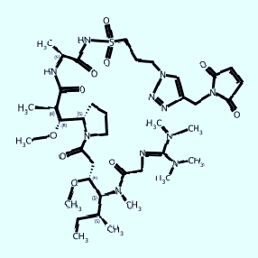 CC[C@H](C)[C@@H]([C@@H](CC(=O)N1CCC[C@H]1[C@H](OC)[C@@H](C)C(=O)N[C@@H](C)C(=O)NS(=O)(=O)CCCn1cc(CN2C(=O)C=CC2=O)nn1)OC)N(C)C(=O)CN=C(N(C)C)N(C)C